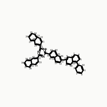 c1ccc(-c2cccc3cc(-c4ccc5cc(-c6nc(-c7ccc8ccccc8c7)nc(-c7ccc8ccccc8c7)n6)ccc5c4)ccc23)cc1